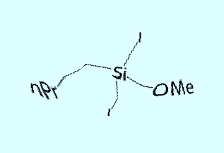 CCCC[Si](I)(I)OC